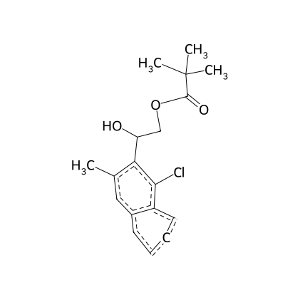 Cc1cc2ccccc2c(Cl)c1C(O)COC(=O)C(C)(C)C